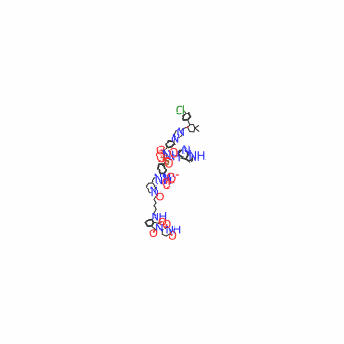 CC1(C)CCC(CN2CCN(c3ccc(C(=O)NS(=O)(=O)c4ccc(NCC5CCCN(C(=O)CCCCCNc6cccc7c6C(=O)N(C6CCC(=O)NC6=O)C7=O)C5)c([N+](=O)[O-])c4)c(Oc4cnc5[nH]ccc5c4)c3)CC2)=C(c2ccc(Cl)cc2)C1